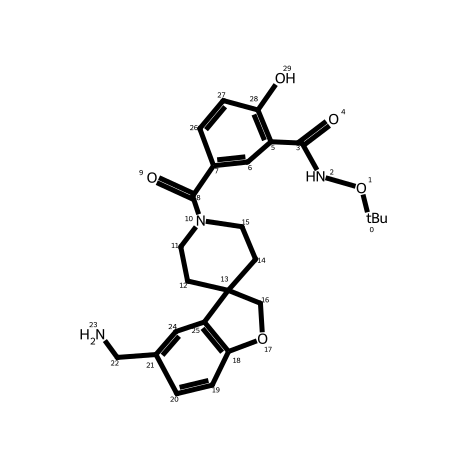 CC(C)(C)ONC(=O)c1cc(C(=O)N2CCC3(CC2)COc2ccc(CN)cc23)ccc1O